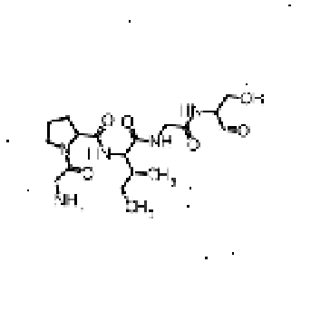 CCC(C)C(NC(=O)C1CCCN1C(=O)CN)C(=O)NCC(=O)NC([C]=O)CO